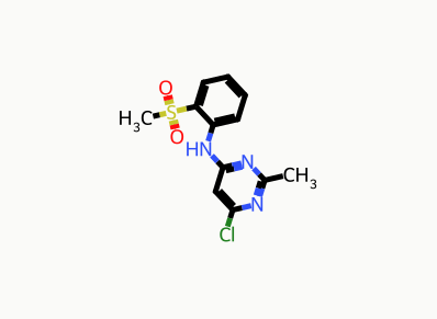 Cc1nc(Cl)cc(Nc2ccccc2S(C)(=O)=O)n1